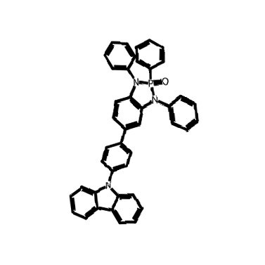 O=P1(c2ccccc2)N(c2ccccc2)c2ccc(-c3ccc(-n4c5ccccc5c5ccccc54)cc3)cc2N1c1ccccc1